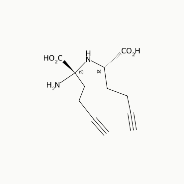 C#CCC[C@H](N[C@@](N)(CCC#C)C(=O)O)C(=O)O